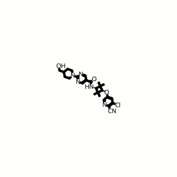 CC1(C)[C@H](NC(=O)c2cnc(N3CCC(CO)CC3)nc2)C(C)(C)[C@H]1Oc1cnc(C#N)c(Cl)c1